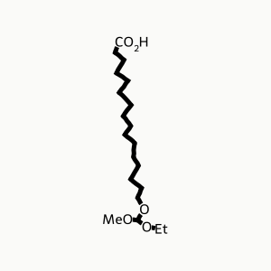 CCOC(OC)OCCCCCCCCCCCCCCCC(=O)O